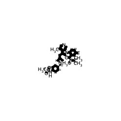 Cc1cncc2c1c(CC1CN(C[C@H]3CC[C@H](NS(C)(=O)=O)CC3)C1)cn2-c1ccc(F)cc1C(=O)N(C)C(C)C